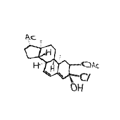 CC(=O)OC1C[C@@]2(C)C(=C[C@@]1(O)Cl)C=C[C@H]1[C@@H]3CC[C@H](C(C)=O)[C@@]3(C)CC[C@@H]12